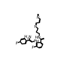 C=N/C=C\C=N/CCCNC(=C)c1cccc(F)c1P/C=C(\N)C1=CCC(F)C=C1